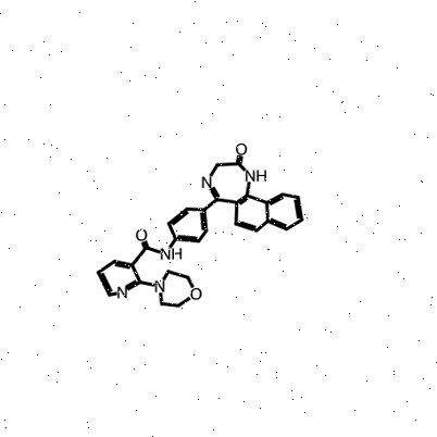 O=C1CN=C(c2ccc(NC(=O)c3cccnc3N3CCOCC3)cc2)c2ccc3ccccc3c2N1